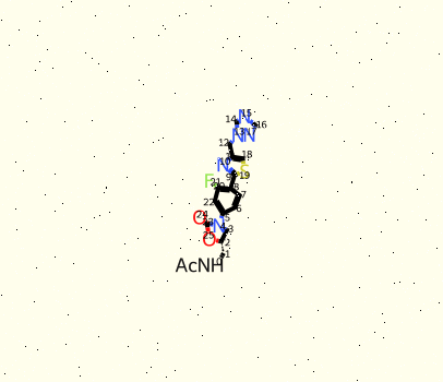 CC(=O)NC[C@H]1CN(c2ccc(-c3nc(Cn4cncn4)cs3)c(F)c2)C(=O)O1